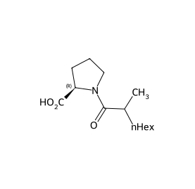 CCCCCCC(C)C(=O)N1CCC[C@@H]1C(=O)O